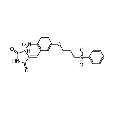 O=C1NC(=O)C(=Cc2cc(OCCCS(=O)(=O)c3ccccc3)ccc2[N+](=O)[O-])N1